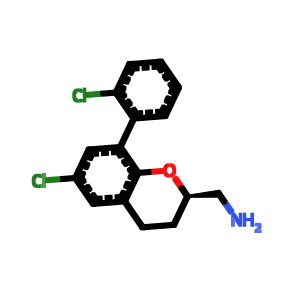 NC[C@H]1CCc2cc(Cl)cc(-c3ccccc3Cl)c2O1